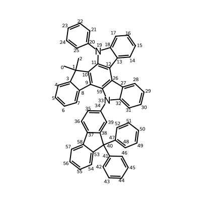 CC1(C)c2ccccc2-c2c1c1c(c3ccccc3n1-c1ccccc1)c1c3ccccc3n(-c3ccc4c(c3)C(c3ccccc3)(c3ccccc3)c3ccccc3-4)c21